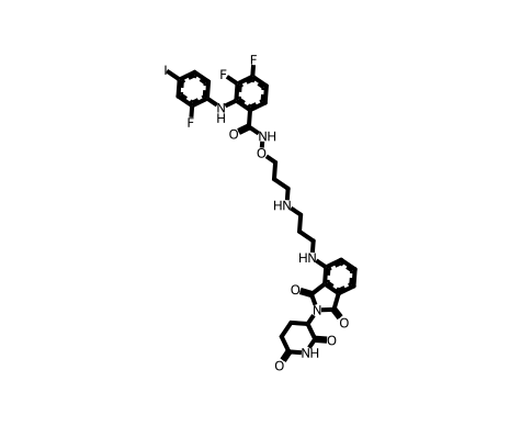 O=C1CCC(N2C(=O)c3cccc(NCCCNCCCONC(=O)c4ccc(F)c(F)c4Nc4ccc(I)cc4F)c3C2=O)C(=O)N1